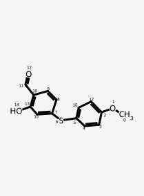 COc1ccc(Sc2ccc([C]=O)c(O)c2)cc1